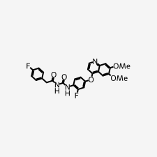 COc1cc2nccc(Oc3ccc(NC(=O)NC(=O)Cc4ccc(F)cc4)c(F)c3)c2cc1OC